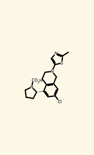 Cc1ncc(N2CCc3c(cc(Cl)cc3[C@@H]3CCCN3C(=O)O)C2)s1